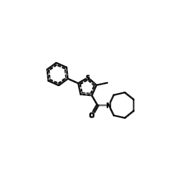 Cc1sc(-c2ccccc2)cc1C(=O)N1CCCCCC1